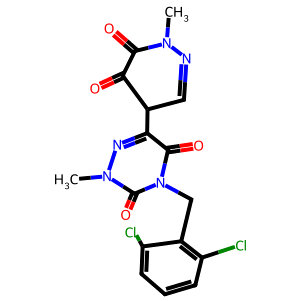 CN1N=CC(c2nn(C)c(=O)n(Cc3c(Cl)cccc3Cl)c2=O)C(=O)C1=O